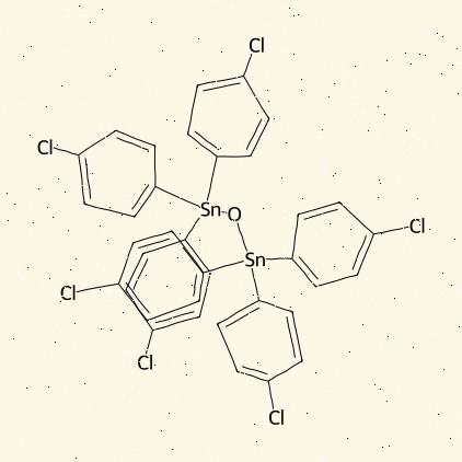 Clc1cc[c]([Sn]([O][Sn]([c]2ccc(Cl)cc2)([c]2ccc(Cl)cc2)[c]2ccc(Cl)cc2)([c]2ccc(Cl)cc2)[c]2ccc(Cl)cc2)cc1